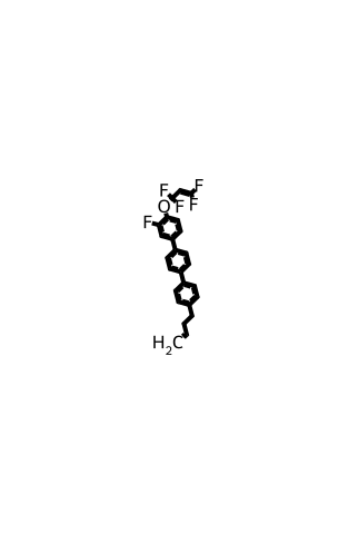 C=CCCc1ccc(-c2ccc(-c3ccc(OC(F)(F)C=C(F)F)c(F)c3)cc2)cc1